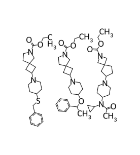 CCOC(=O)N1CC2(CCC(N3CCC(N(C(C)=O)C4CC4)CC3)C2)C1.CCOC(=O)N1CCC2(CC(N3CCC(OC(C)c4ccccc4)CC3)C2)C1.CCOC(=O)N1CCC2(CC(N3CCC(SCc4ccccc4)CC3)C2)C1